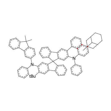 CC1CC2CCCC(C1)C2c1ccc(N(c2ccccc2)c2cc3c(cc2-c2ccccc2)-c2ccccc2C32c3ccccc3-c3cc(C(C)(C)C)c(N(c4ccccc4)c4ccc5c(c4)-c4ccccc4C5(C)C)cc32)cc1